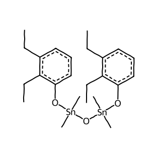 CCc1cccc([O][Sn]([CH3])([CH3])[O][Sn]([CH3])([CH3])[O]c2cccc(CC)c2CC)c1CC